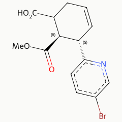 COC(=O)[C@H]1C(C(=O)O)CC=C[C@@H]1c1ccc(Br)cn1